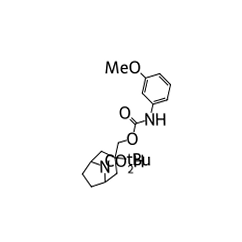 COc1cccc(NC(=O)OCC2(C(C)(C)C)CC3CCC(C2)N3C(=O)O)c1